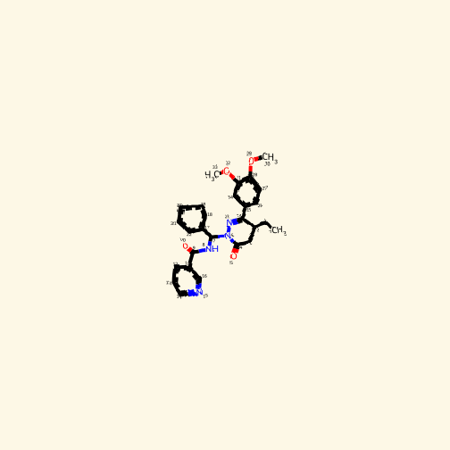 CCC1CC(=O)N(C(NC(=O)c2cccnc2)c2ccccc2)N=C1c1ccc(OC)c(OC)c1